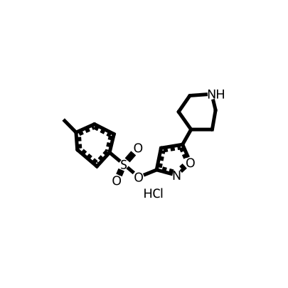 Cc1ccc(S(=O)(=O)Oc2cc(C3CCNCC3)on2)cc1.Cl